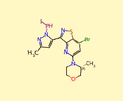 Cc1cc(-c2nsc3c(Br)cc(N4CCOC[C@H]4C)nc23)n(PI)n1